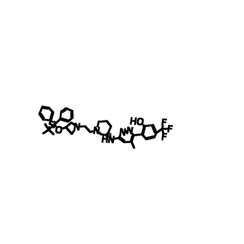 Cc1cc(N[C@@H]2CCCN(CCN3CC(O[Si](c4ccccc4)(c4ccccc4)C(C)(C)C)C3)C2)nnc1-c1ccc(C(F)(F)F)cc1O